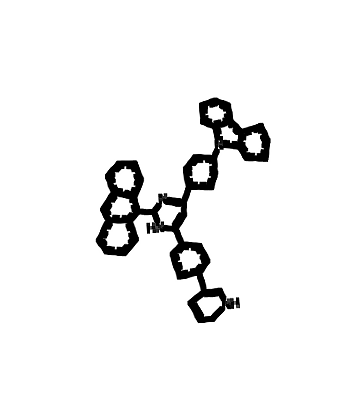 C1=CC(c2ccc(C3=CC(c4ccc(-n5c6ccccc6c6ccccc65)cc4)=NC(c4c5ccccc5cc5ccccc45)N3)cc2)=CNC1